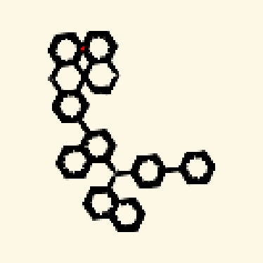 c1ccc(-c2ccc(N(c3cccc4ccccc34)c3ccc(-c4ccc5c(c4)C4(c6ccccc6O5)c5ccccc5Sc5ccccc54)c4ccccc34)cc2)cc1